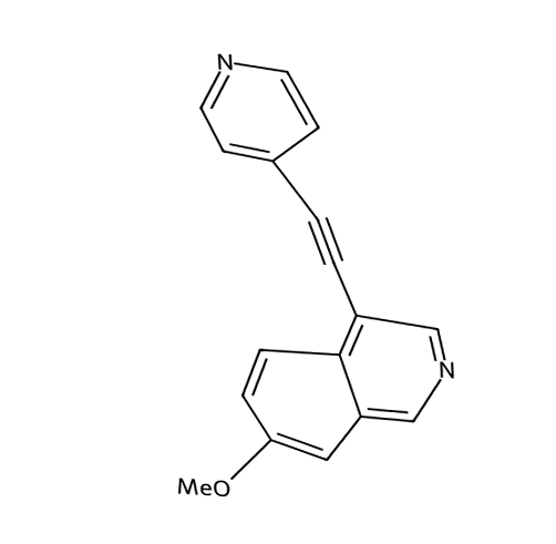 COc1ccc2c(C#Cc3ccncc3)cncc2c1